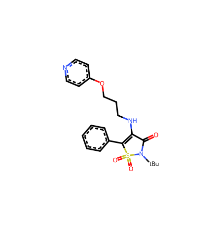 CC(C)(C)N1C(=O)C(NCCCOc2ccncc2)=C(c2ccccc2)S1(=O)=O